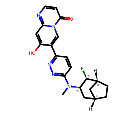 CN(c1ccc(-c2cn3c(=O)ccnc3cc2O)nn1)[C@@H]1C[C@H]2CC[C@H](C2)[C@@H]1F